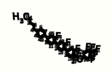 CCCCCc1ccc(-c2ccc(-c3ccc(-c4ccc(C(F)(F)Oc5cc(F)c(C(F)(F)F)c(F)c5)c(F)c4)c(F)c3)c(F)c2)cc1